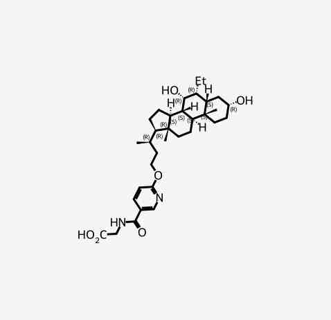 CC[C@H]1[C@@H](O)[C@@H]2[C@H](CC[C@]3(C)[C@@H]([C@H](C)CCOc4ccc(C(=O)NCC(=O)O)cn4)CC[C@@H]23)[C@@]2(C)CC[C@@H](O)C[C@@H]12